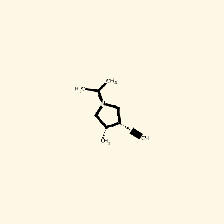 C#C[C@H]1CN(C(C)C)C[C@H]1C